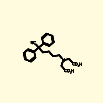 N#CC(CCCCN(CC(=O)O)CC(=O)O)(c1ccccc1)c1ccccc1